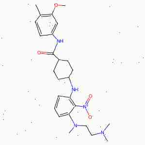 COc1cc(NC(=O)C2CCC(Nc3cccc(N(C)CCN(C)C)c3[N+](=O)[O-])CC2)ccc1C